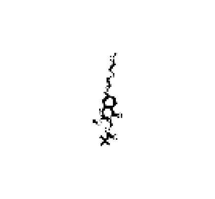 COCCOCCOc1ccc2c(=O)n(COC(=O)C(C)(C)C)c(OC)nc2c1